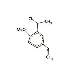 C=Cc1ccc(OC)c(C(C)Cl)c1